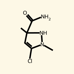 CN1NC(C)(C(N)=O)C=C1Cl